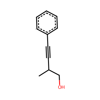 CC(C#Cc1[c]cccc1)CO